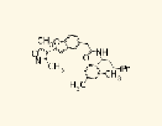 Cc1ccc(C(CCC(C)C)NC(=O)Cc2ccc3oc(-c4c(C)noc4C)cc3c2)c(C)c1